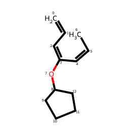 C=C/C=C(\C=C/C)OC1CCCC1